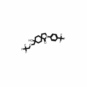 O=C1N(c2ccc(C(F)(F)F)cc2)CCC12CCC(O)(COCC(F)(F)F)CC2